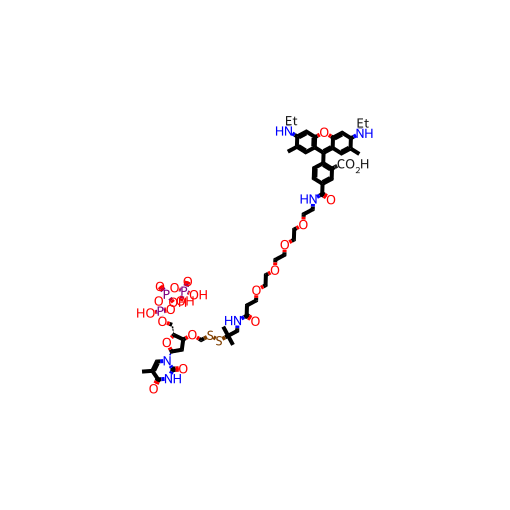 CCNc1cc2c(cc1C)C(c1ccc(C(=O)NCCOCCOCCOCCOCCC(=O)NCC(C)(C)SSCOC3C[C@H](n4cc(C)c(=O)[nH]c4=O)O[C@@H]3COP(=O)(O)OP(=O)(O)OP(=O)(O)O)cc1C(=O)O)=C1C=C(C)C(NCC)C=C1O2